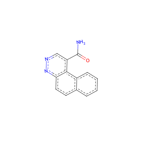 NC(=O)c1cnnc2ccc3ccccc3c12